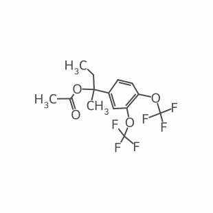 CCC(C)(OC(C)=O)c1ccc(OC(F)(F)F)c(OC(F)(F)F)c1